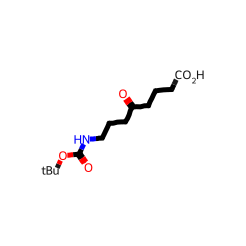 CC(C)(C)OC(=O)NCCCC(=O)CCCC(=O)O